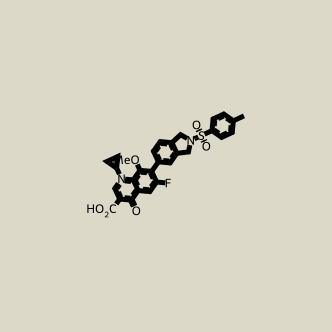 COc1c(-c2ccc3c(c2)CN(S(=O)(=O)c2ccc(C)cc2)C3)c(F)cc2c(=O)c(C(=O)O)cn(C3CC3)c12